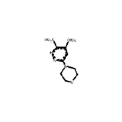 COc1cc(N2CCOCC2)nnc1C(=O)O